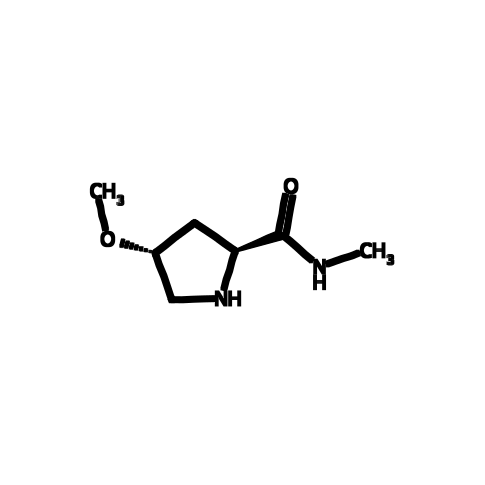 CNC(=O)[C@@H]1C[C@@H](OC)CN1